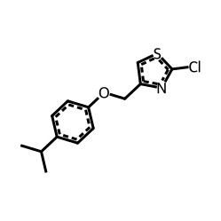 CC(C)c1ccc(OCc2csc(Cl)n2)cc1